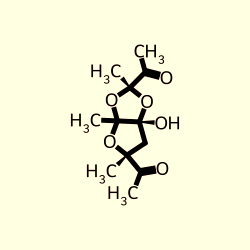 CC(=O)[C@@]1(C)OC2(C)O[C@@](C)(C(C)=O)C[C@@]2(O)O1